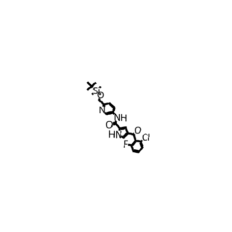 CC(C)(C)[Si](C)(C)OCc1ccc(NC(=O)c2cc(C(=O)c3c(F)cccc3Cl)c[nH]2)cn1